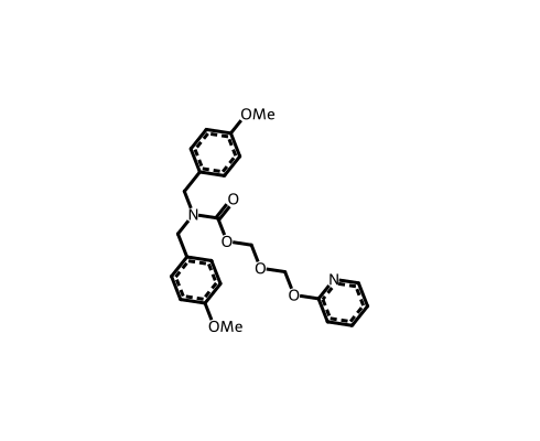 COc1ccc(CN(Cc2ccc(OC)cc2)C(=O)OCOCOc2ccccn2)cc1